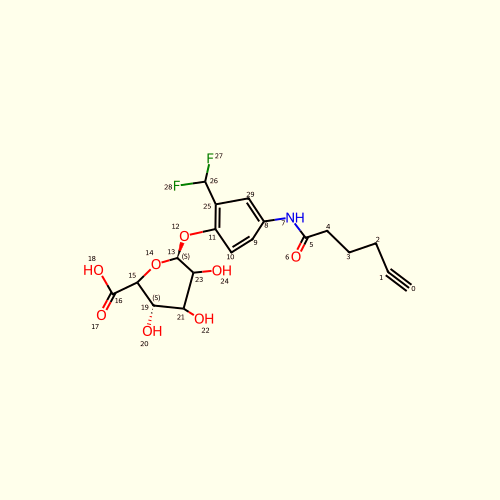 C#CCCCC(=O)Nc1ccc(O[C@@H]2OC(C(=O)O)[C@@H](O)C(O)C2O)c(C(F)F)c1